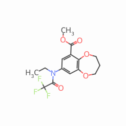 CCN(C(=O)C(F)(F)F)c1cc2c(c(C(=O)OC)c1)OCCCO2